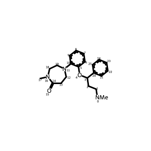 CNCCC(Oc1ccccc1N1CCC(=O)N(C)CC1)c1ccccc1